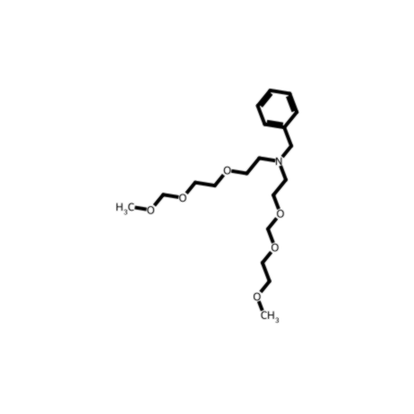 COCCOCOCCN(CCOCCOCOC)Cc1ccccc1